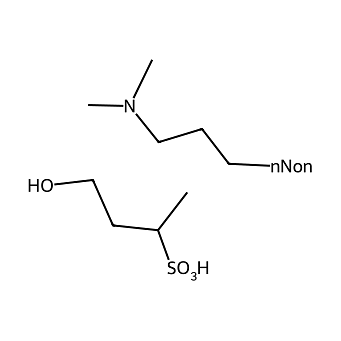 CC(CCO)S(=O)(=O)O.CCCCCCCCCCCCN(C)C